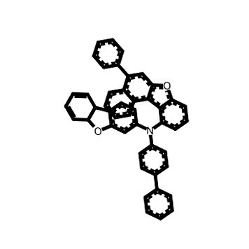 C1=CC2Oc3cc(N(c4ccc(-c5ccccc5)cc4)c4cccc5oc6cc(-c7ccccc7)c7ccccc7c6c45)ccc3C2C=C1